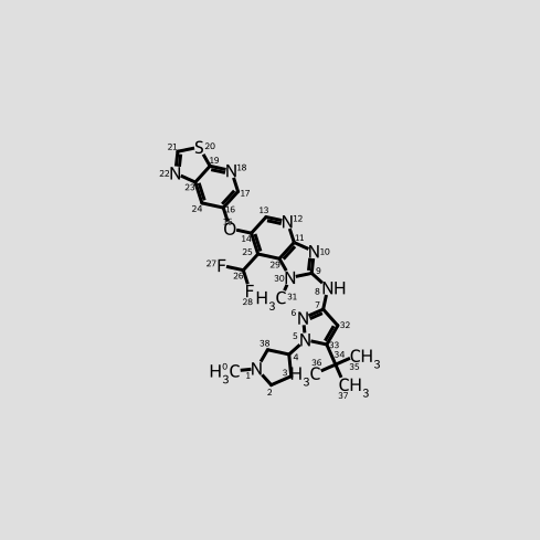 CN1CCC(n2nc(Nc3nc4ncc(Oc5cnc6scnc6c5)c(C(F)F)c4n3C)cc2C(C)(C)C)C1